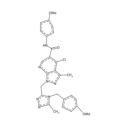 COc1ccc(Cn2c(C)nnc2Cn2nc(C)c3c(Cl)c(C(=O)Nc4ccc(OC)cc4)cnc32)cc1